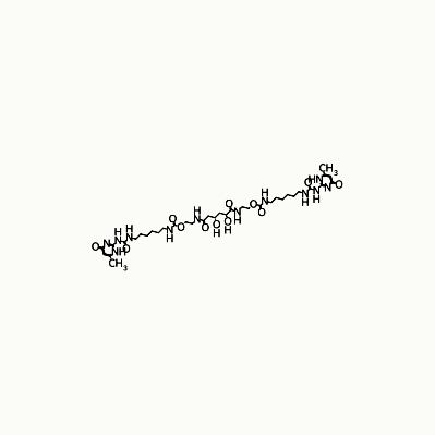 Cc1cc(=O)nc(NC(=O)NCCCCCCNC(=O)OCCNC(=O)C[C@@H](O)C[C@H](O)C(=O)NCCOC(=O)NCCCCCCNC(=O)Nc2nc(=O)cc(C)[nH]2)[nH]1